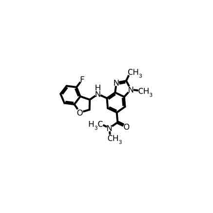 Cc1nc2c(NC3COc4cccc(F)c43)cc(C(=O)N(C)C)cc2n1C